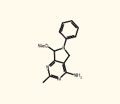 COC1c2nc(C)nc(N)c2CN1c1ccccc1